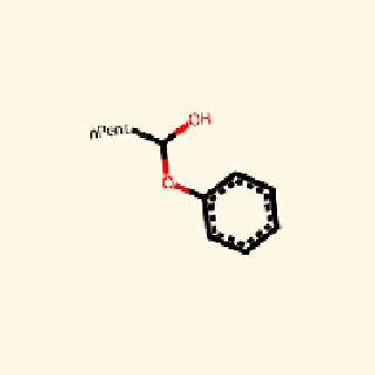 CCCCCC(O)Oc1cc[c]cc1